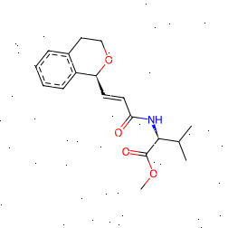 COC(=O)[C@@H](NC(=O)/C=C/[C@@H]1OCCc2ccccc21)C(C)C